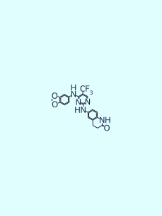 O=C1CCc2cc(Nc3ncc(C(F)(F)F)c(Nc4ccc5c(c4)OCO5)n3)ccc2N1